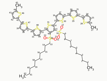 CCCCCCCCCCS(=O)(=O)c1c(-c2ccc(-c3ccc(-c4ccc(C)s4)s3)s2)sc(-c2ccc(-c3ccc(-c4ccc(C)s4)s3)s2)c1S(=O)(=O)CCCCCCCCCC